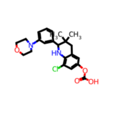 CC1(C)Cc2cc(OC(=O)O)cc(Cl)c2NC1c1cccc(N2CCOCC2)c1